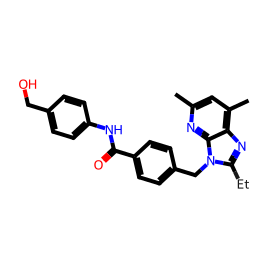 CCc1nc2c(C)cc(C)nc2n1Cc1ccc(C(=O)Nc2ccc(CO)cc2)cc1